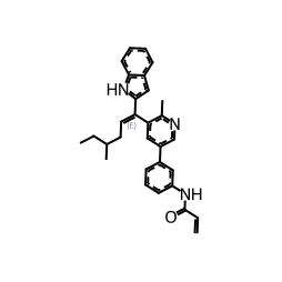 C=CC(=O)Nc1cccc(-c2cnc(C)c(/C(=C\CC(C)CC)c3cc4ccccc4[nH]3)c2)c1